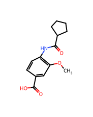 COc1cc(C(=O)O)ccc1NC(=O)C1CCCC1